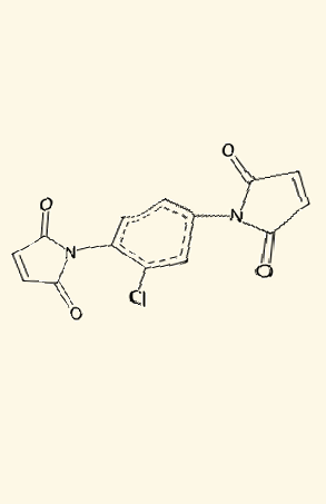 O=C1C=CC(=O)N1c1ccc(N2C(=O)C=CC2=O)c(Cl)c1